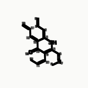 C=C/C=C1/BC(/C=N\C)=C(/C=C\C)C(=O)/C1=C/C=C